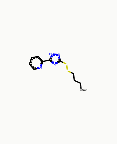 CCCCCCCCCCCCSSc1n[nH]c(-c2ccccn2)n1